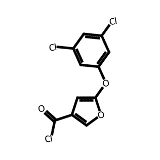 O=C(Cl)c1coc(Oc2cc(Cl)cc(Cl)c2)c1